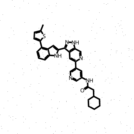 Cc1ccc(-c2cccc3[nH]c(-c4n[nH]c5cnc(-c6cncc(NC(=O)CC7CCCCC7)c6)cc45)cc23)s1